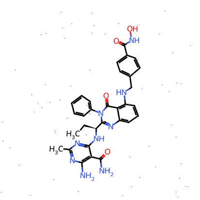 CC[C@H](Nc1nc(C)nc(N)c1C(N)=O)c1nc2cccc(NCc3ccc(C(=O)NO)cc3)c2c(=O)n1-c1ccccc1